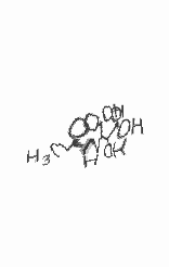 CCCC(=O)N[C@H](C(=O)O)C(O)C(=O)O